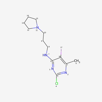 Cc1nc(Cl)nc(NCCCN2CCCC2)c1I